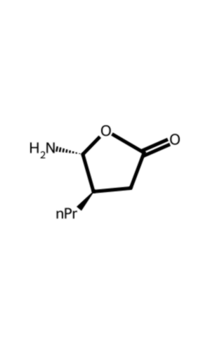 CCC[C@@H]1CC(=O)O[C@H]1N